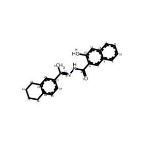 C/C(=N\NC(=O)c1cc2ccccc2cc1O)c1ccc2c(c1)CCCC2